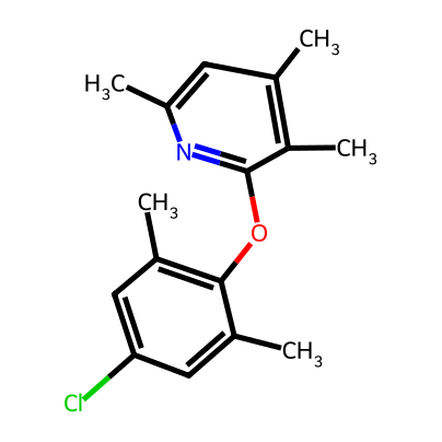 Cc1cc(C)c(C)c(Oc2c(C)cc(Cl)cc2C)n1